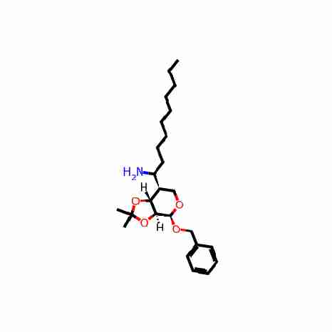 CCCCCCCCCC(N)[C@H]1CO[C@@H](OCc2ccccc2)[C@H]2OC(C)(C)O[C@@H]21